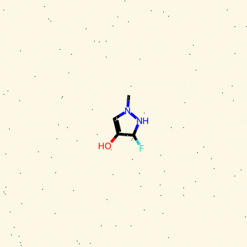 CN1C=C(O)C(F)N1